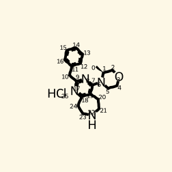 C[C@H]1COCCN1c1nc(Cc2ccccc2)nc2c1CCNCC2.Cl